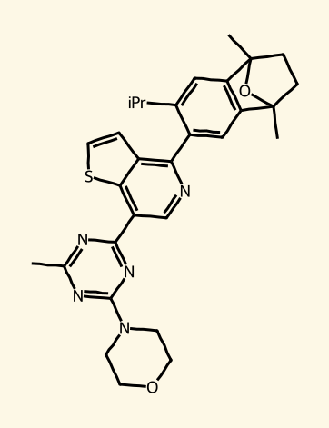 Cc1nc(-c2cnc(-c3cc4c(cc3C(C)C)C3(C)CCC4(C)O3)c3ccsc23)nc(N2CCOCC2)n1